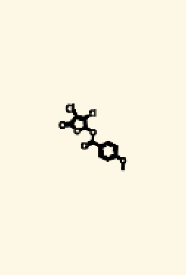 COc1ccc(C(=O)OC2OC(=O)C(Cl)=C2Cl)cc1